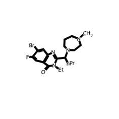 CCCC(c1nc2cc(Br)c(F)cc2c(=O)n1CC)N1CCCN(C)CC1